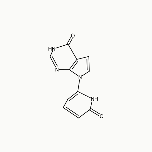 O=c1cccc(-n2ccc3c(=O)[nH]cnc32)[nH]1